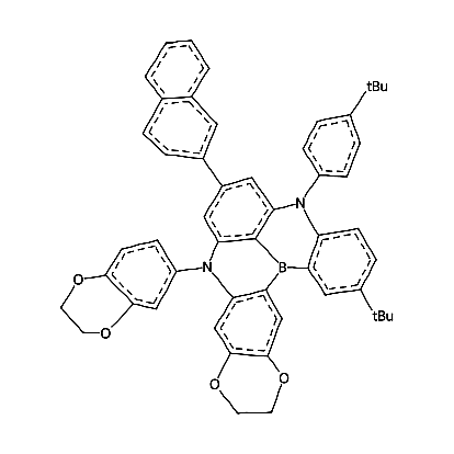 CC(C)(C)c1ccc(N2c3ccc(C(C)(C)C)cc3B3c4cc5c(cc4N(c4ccc6c(c4)OCCO6)c4cc(-c6ccc7ccccc7c6)cc2c43)OCCO5)cc1